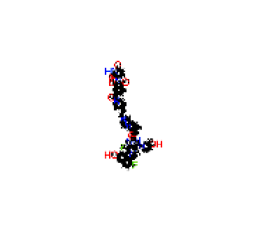 C#Cc1c(F)ccc2cc(O)cc(-c3ncc4c(N5CCC[C@@](C)(O)C5)nc(OCC5(CN6CCN(CCC7CCN(C(=O)c8ccc9c(c8)C(=O)N(C8CCC(=O)NC8=O)C9=O)CC7)CC6)CC5)nc4c3F)c12